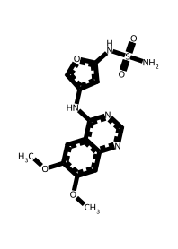 COc1cc2ncnc(Nc3coc(NS(N)(=O)=O)c3)c2cc1OC